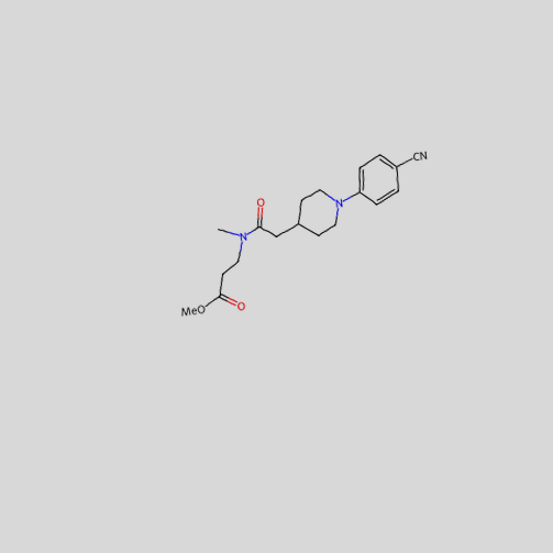 COC(=O)CCN(C)C(=O)CC1CCN(c2ccc(C#N)cc2)CC1